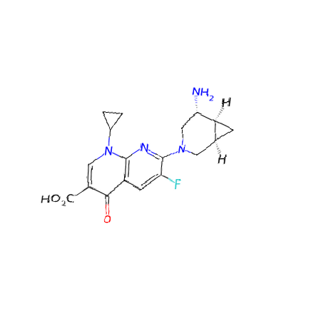 N[C@H]1CN(c2nc3c(cc2F)c(=O)c(C(=O)O)cn3C2CC2)C[C@@H]2C[C@@H]21